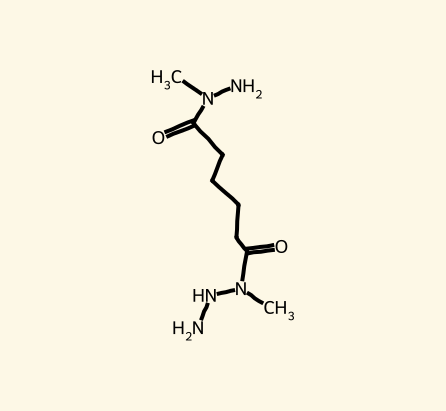 CN(N)C(=O)CCCCC(=O)N(C)NN